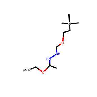 COCOC(C)NNCOCC[Si](C)(C)C